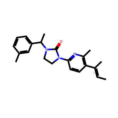 C/C=C(\C)c1ccc(N2CCN(C(C)c3cccc(C)c3)C2=O)nc1C